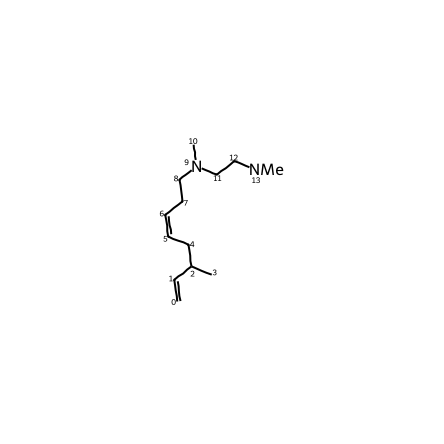 C=CC(C)C/C=C\CCN(C)CCNC